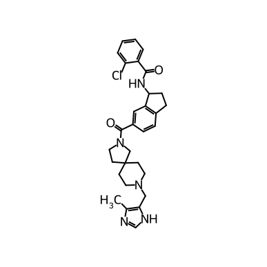 Cc1nc[nH]c1CN1CCC2(CC1)CCN(C(=O)c1ccc3c(c1)C(NC(=O)c1ccccc1Cl)CC3)C2